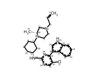 C=CCN1CCN(C2CCC[C@@H](Nc3ncc(Cl)c(-c4c[nH]c5ccccc45)n3)C2)[C@H](C)C1